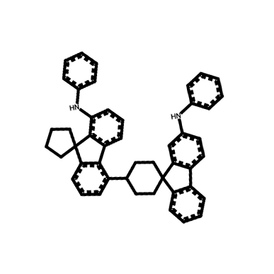 c1ccc(Nc2ccc3c(c2)C2(CCC(c4cccc5c4-c4cccc(Nc6ccccc6)c4C54CCCC4)CC2)c2ccccc2-3)cc1